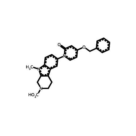 Cn1c2c(c3cc(-n4ccc(OCc5ccccc5)cc4=O)ccc31)CCN(C(=O)O)C2